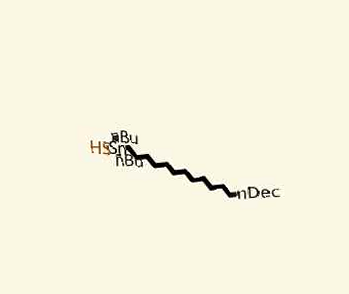 CCCCCCCCCCCCCCCCCCCCC[CH2][Sn]([SH])([CH2]CCC)[CH2]CCC